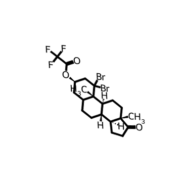 C[C@]12C(CC[C@@H]3[C@@H]1CC[C@]1(C)C(=O)CC[C@@H]31)C[C@@H](OC(=O)C(F)(F)F)CC2(Br)Br